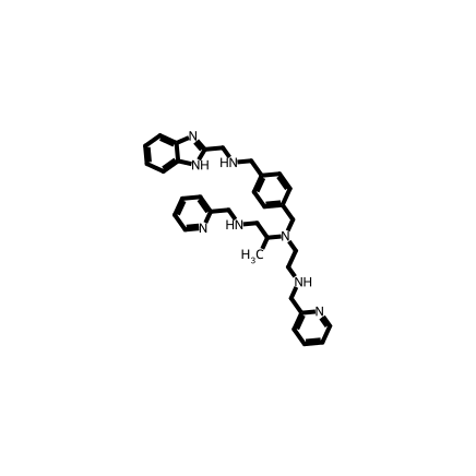 CC(CNCc1ccccn1)N(CCNCc1ccccn1)Cc1ccc(CNCc2nc3ccccc3[nH]2)cc1